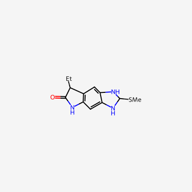 CCC1C(=O)Nc2cc3c(cc21)NC(SC)N3